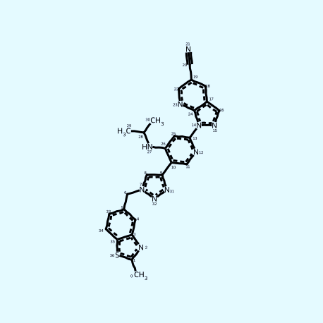 Cc1nc2cc(Cn3cc(-c4cnc(-n5ncc6cc(C#N)cnc65)cc4NC(C)C)nn3)ccc2s1